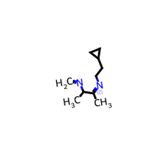 C=NC(C)/C(C)=N\CCC1CC1